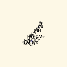 CC/C(=C(/c1ccc(OCCNC/C=C/C(=O)N(C)C)nc1)c1[nH]c2ccccc2c1Cl)c1cccc(OC)c1